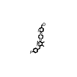 Cc1c(Cc2ccc(F)cc2)nnc(N2CCN(c3ccc(C=O)cn3)CC2)c1C